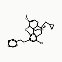 COC1=CC=C2[C@@H]3Cc4c(Br)cc(OCc5ccccc5)c5c4C2(CCN3CC2CC2)C1O5